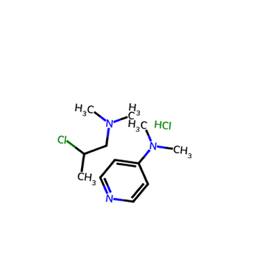 CC(Cl)CN(C)C.CN(C)c1ccncc1.Cl